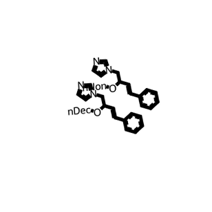 CCCCCCCCCCOC(C=Cc1ccccc1)Cn1ccnc1.CCCCCCCCCOC(C=Cc1ccccc1)Cn1ccnc1